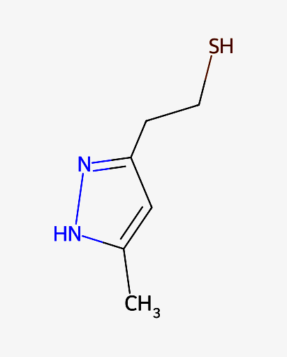 Cc1cc(CCS)n[nH]1